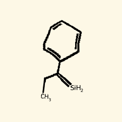 CCC(=[SiH2])c1ccccc1